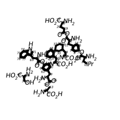 CC(C)C[C@H](N)C(=O)Oc1ccc(C[C@H](N)C(=O)OC(=O)CC[C@@H](N)C(=O)O)cc1.N[C@@H](CC1CCCCC1)C(=O)O.N[C@@H](CO)C(=O)O.N[C@@H](Cc1ccccc1)C(=O)O.N[C@H](COC(=O)[C@@H](N)Cc1ccc(OC(=O)[C@@H](N)Cc2c[nH]c3ccccc23)cc1)C(=O)O